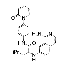 CC(C)CC(Nc1ccc2ccnc(N)c2c1)C(=O)Nc1ccc(-n2ccccc2=O)cc1